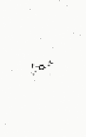 CCN(C)C(=O)N1CCN=C1c1cc(C)c(Oc2nc(Cl)c(Cl)s2)cc1C